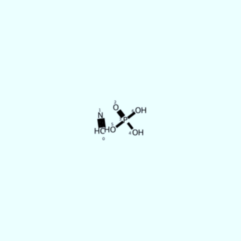 C#N.O=P(O)(O)O